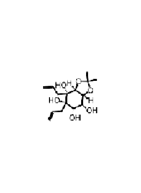 C=CC[C@@]1(O)[C@@H]2OC(C)(C)O[C@@H]2[C@@H](O)[C@H](O)[C@]1(O)CC=C